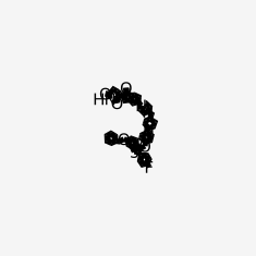 O=C1CCC(N2Cc3cc(N4CCN(CC5CCN(c6ccc(Oc7c(-c8ccc(F)cc8)sc8cc(OCc9ccccc9)ccc78)cc6)CC5)CC4)ccc3C2=O)C(=O)N1